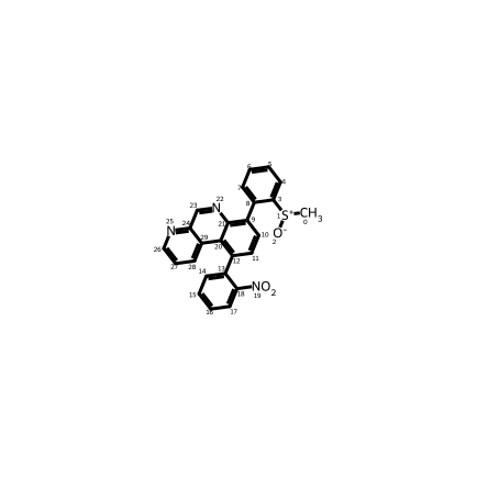 C[S+]([O-])c1ccccc1-c1ccc(-c2ccccc2[N+](=O)[O-])c2c1ncc1ncccc12